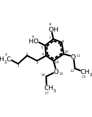 CCCCc1c(O)c(O)cc(OCC)c1OCC